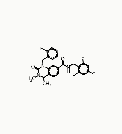 CC1c2ccc(C(=O)NCc3c(F)cc(F)cc3F)cc2N(Cc2ccccc2F)C(=O)N1C